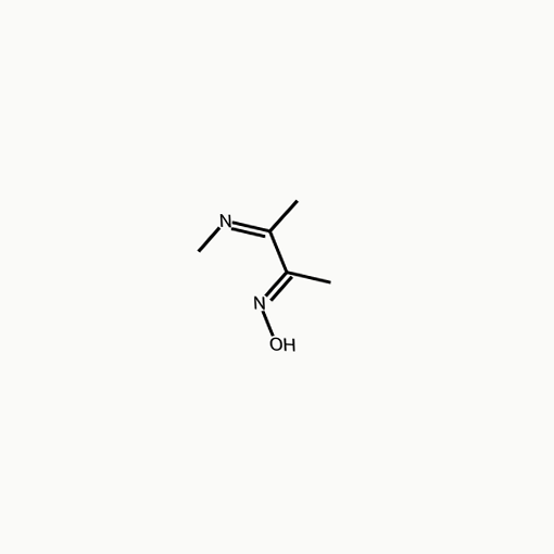 CN=C(C)C(C)=NO